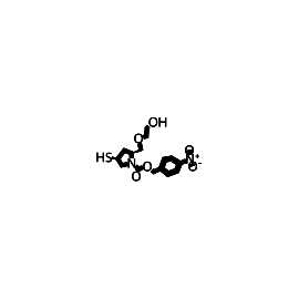 O=C(OCc1ccc([N+](=O)[O-])cc1)N1C[C@@H](S)C[C@H]1COCCO